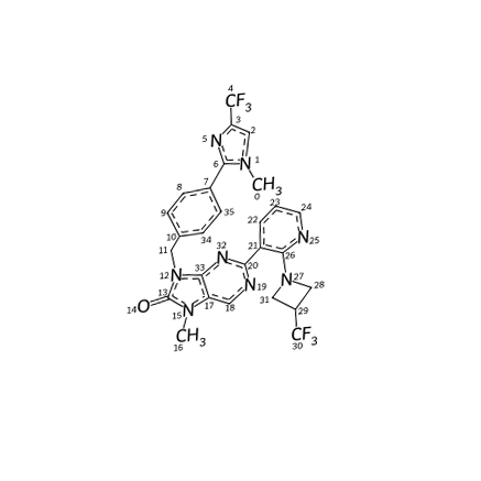 Cn1cc(C(F)(F)F)nc1-c1ccc(Cn2c(=O)n(C)c3cnc(-c4cccnc4N4CC(C(F)(F)F)C4)nc32)cc1